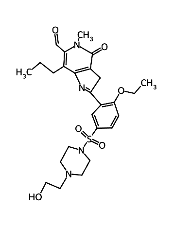 CCCc1c2c(c(=O)n(C)c1C=O)CC(c1cc(S(=O)(=O)N3CCN(CCO)CC3)ccc1OCC)=N2